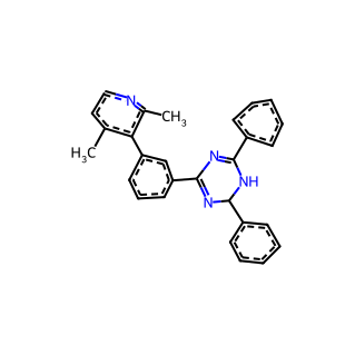 Cc1ccnc(C)c1-c1cccc(C2=NC(c3ccccc3)NC(c3ccccc3)=N2)c1